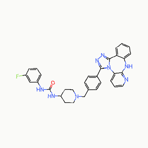 O=C(Nc1cccc(F)c1)NC1CCN(Cc2ccc(-c3nnc4n3-c3cccnc3Nc3ccccc3-4)cc2)CC1